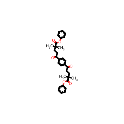 CC(C)(CCC(=O)c1ccc(C(=O)CCC(C)(C)C(=O)Oc2ccccc2)cc1)C(=O)Oc1ccccc1